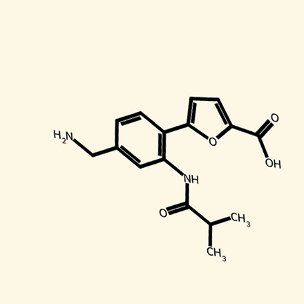 CC(C)C(=O)Nc1cc(CN)ccc1-c1ccc(C(=O)O)o1